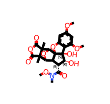 COc1cc(OC)c2c(c1)OC13C(C4OC1C1(C)C(=O)OC(=O)C41C)[C@@H](C(=O)N(C)OC)[C@@H](O)[C@@]23O